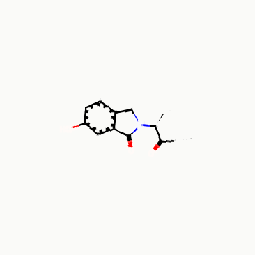 COC(=O)[C@H](C(C)C)N1Cc2ccc(O)cc2C1=O